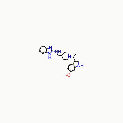 COc1ccc2c(C(C)N3CCC(CNc4nc5ccccc5[nH]4)CC3)c[nH]c2c1